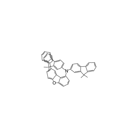 CC1(C)c2ccccc2-c2ccc(N(c3ccc4c(c3)C(C)(C)c3ccccc3-4)c3cccc4oc5ccc(-c6ccccc6)cc5c34)cc21